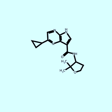 CC1(C)OCCC1NC(=O)c1c[nH]c2ncc(C3CC3)nc12